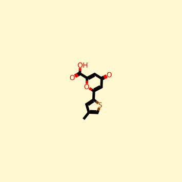 Cc1csc(-c2cc(=O)cc(C(=O)O)o2)c1